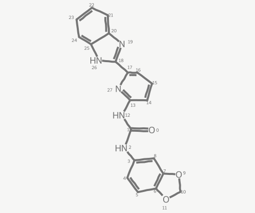 O=C(Nc1ccc2c(c1)OCO2)Nc1cccc(-c2nc3ccccc3[nH]2)n1